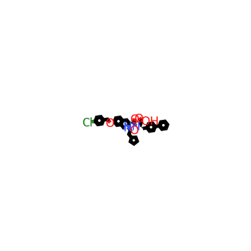 O=C(O)[C@H](Cc1ccc(-c2ccccc2)cc1)NC(=O)[C@@H]1Cc2ccc(OCc3ccc(Cl)cc3)cc2CN1C(=O)CC1CCCC1